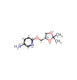 CC1(C)OC[C@H](COc2ccc(N)cn2)O1